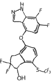 OC1c2c(SC(F)(F)F)ccc(Oc3cc(F)c(F)c4[nH]ncc34)c2CC1(F)F